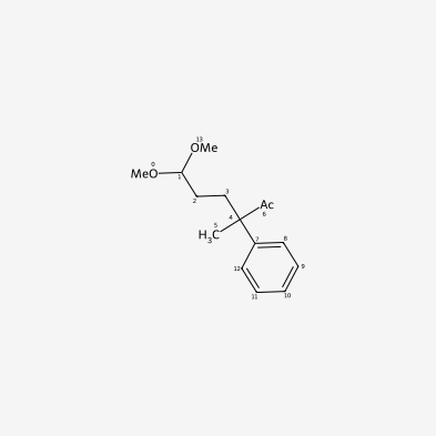 COC(CCC(C)(C(C)=O)c1ccccc1)OC